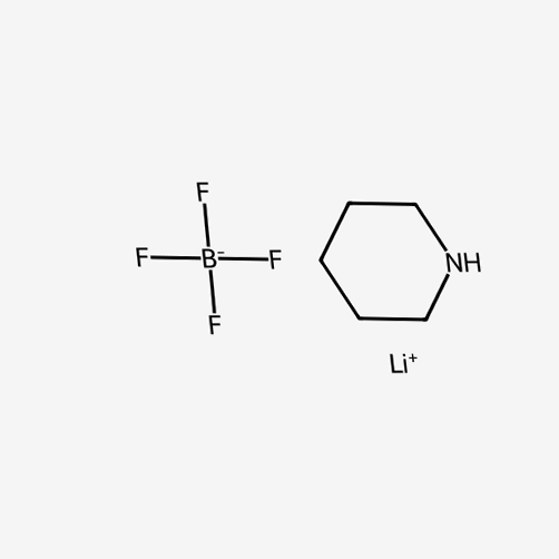 C1CCNCC1.F[B-](F)(F)F.[Li+]